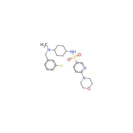 CN(Cc1cccc(F)c1)C1CCC(NS(=O)(=O)c2ccc(N3CCOCC3)nc2)CC1